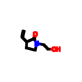 C=CC1CCN(CCO)C1=O